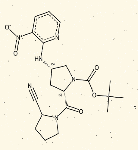 CC(C)(C)OC(=O)N1C[C@@H](Nc2ncccc2[N+](=O)[O-])C[C@H]1C(=O)N1CCCC1C#N